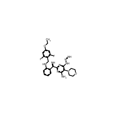 CCOc1cc(F)c(CNc2ccccc2C(=N)c2nc(N)c(N3CCOCC3)c(NN=N)n2)c(F)c1